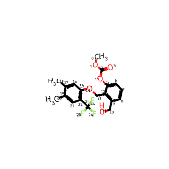 COC(=O)Oc1cccc(CO)c1COc1cc(C)c(C)cc1C(F)(F)F